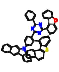 c1ccc(-c2nc(-c3ccc(-n4c5ccccc5c5cc6ccccc6cc54)cc3-c3cccc4sc5ccc6ccccc6c5c34)nc(-c3cccc4oc5ccccc5c34)n2)cc1